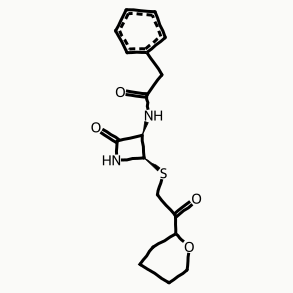 O=C(Cc1ccccc1)N[C@@H]1C(=O)N[C@@H]1SCC(=O)C1CCCCO1